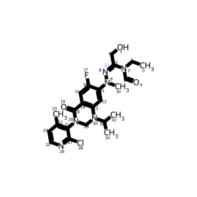 CCN(C=O)/C(CO)=N\N(C)c1cc2c(cc1F)C(=O)N(c1c(C)ccnc1Cl)CN2C(C)C